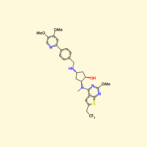 COc1nc(N(C)[C@H]2C[C@@H](NCc3ccc(-c4cc(OC)c(OC)cn4)cc3)C[C@H]2O)c2cc(CC(F)(F)F)sc2n1